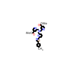 COC(=O)c1ccnc(CN(Cc2cc(C(=O)OC)ccn2)Cc2cccc(-c3ncc(-c4ccc(C)cc4)s3)n2)c1